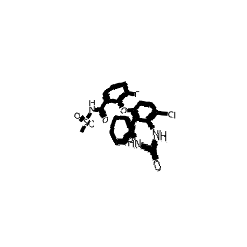 CS(=O)(=O)NC(=O)c1cccc(F)c1Oc1ccc(Cl)c2c1C1(CCCCC1)NC(=O)N2